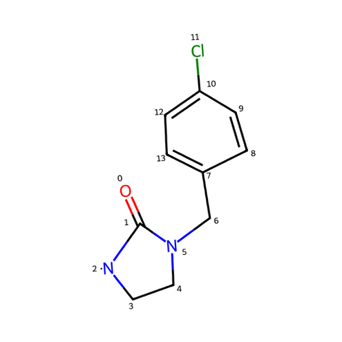 O=C1[N]CCN1Cc1ccc(Cl)cc1